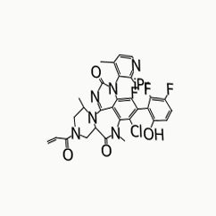 C=CC(=O)N1CC(C)N2c3nc(=O)n(-c4c(C)ccnc4C(C)C)c4c(F)c(-c5c(O)ccc(F)c5F)c(Cl)c(c34)N(C)C(=O)C2C1